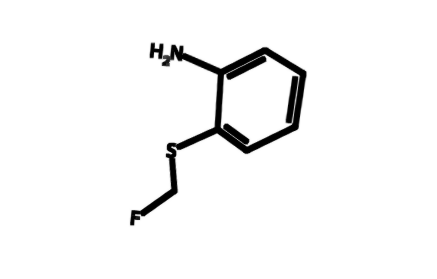 Nc1ccccc1SCF